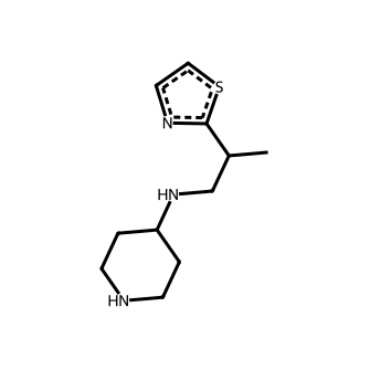 CC(CNC1CCNCC1)c1nccs1